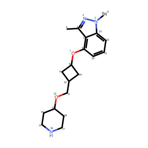 [2H]n1nc(C)c2c(OC3CC(COC4CCNCC4)C3)cccc21